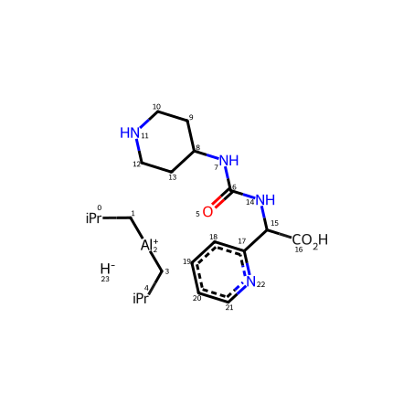 CC(C)[CH2][Al+][CH2]C(C)C.O=C(NC1CCNCC1)NC(C(=O)O)c1ccccn1.[H-]